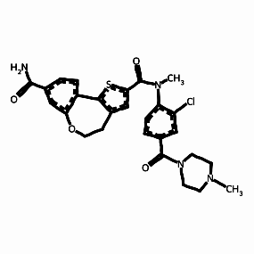 CN1CCN(C(=O)c2ccc(N(C)C(=O)c3cc4c(s3)-c3ccc(C(N)=O)cc3OCC4)c(Cl)c2)CC1